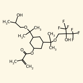 C=C(C)C(=O)OC1CC(C(C)(C)OCC(C)O)CC(C(C)(C)OCC(O)(C(F)(F)F)C(F)(F)F)C1